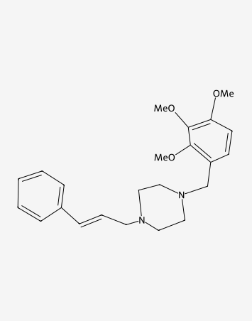 COc1ccc(CN2CCN(CC=Cc3ccccc3)CC2)c(OC)c1OC